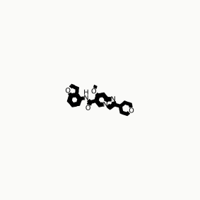 COc1cc2nc(C3CCOCC3)cn2cc1C(=O)Nc1cccc2c1CCO2